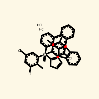 Cl.Cl.[CH2]=[Zr]([C]1=CC=CC1)([c]1cc(Cl)cc(Cl)c1C)([c]1cc(Cl)cc(Cl)c1C)[c]1cccc2c1c1c(c3ccccc32)-c2ccccc2C1